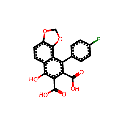 O=C(O)c1c(C(=O)O)c(-c2ccc(F)cc2)c2c3c(ccc2c1O)OCO3